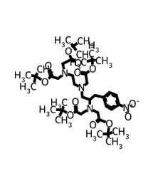 CC(C)(C)OC(=O)CN(CCN(CC(=O)OC(C)(C)C)CC(Cc1ccc([N+](=O)[O-])cc1)N(CC(=O)OC(C)(C)C)CC(=O)OC(C)(C)C)CC(=O)OC(C)(C)C